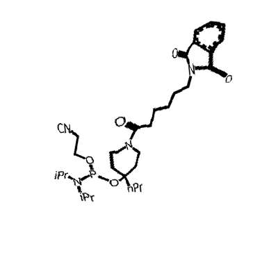 [C-]#[N+]CCOP(OC1(CCC)CCN(C(=O)CCCCCN2C(=O)c3ccccc3C2=O)CC1)N(C(C)C)C(C)C